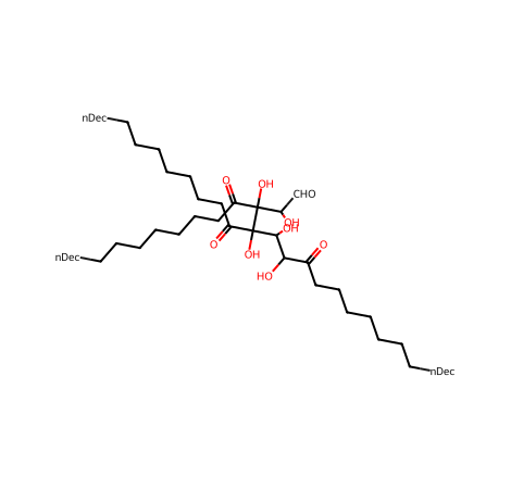 CCCCCCCCCCCCCCCCCC(=O)C(O)C(O)C(O)(C(=O)CCCCCCCCCCCCCCCCC)C(O)(C(=O)CCCCCCCCCCCCCCCCC)C(O)C=O